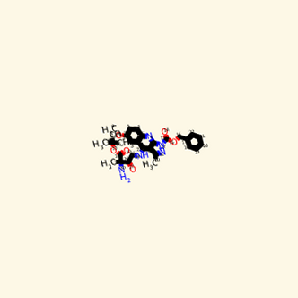 COc1ccc2nc3c(c(C)nn3C(=O)OCc3ccccc3)c(NCC(=O)C(C)(N)C(=O)OC(C)(C)C)c2c1